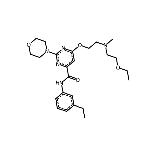 CCOCCN(C)CCOc1cc(C(=O)Nc2cccc(CC)c2)nc(N2CCOCC2)n1